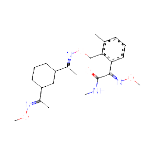 CNC(=O)/C(=N/OC)c1cccc(C)c1CO/N=C(\C)C1CCCC(/C(C)=N/OC)C1